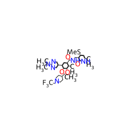 CSc1cc(C)[nH]c(=O)c1CNC(=O)c1cc(-c2cnc(N(C)C)nc2)c2c(c1C)OC(C)(C1CCN(CC(F)(F)F)CC1)O2